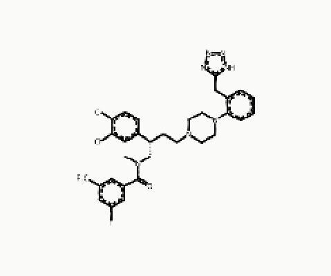 CN(C[C@@H](CCN1CCN(c2ccccc2Cc2nnn[nH]2)CC1)c1ccc(Cl)c(Cl)c1)C(=O)c1cc(F)cc(C(F)(F)F)c1